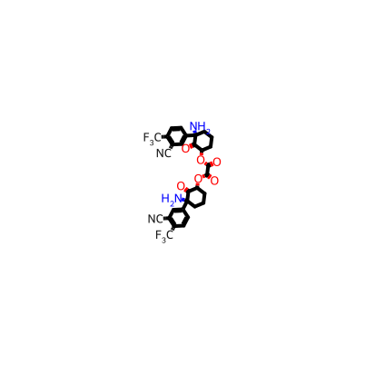 N#Cc1cc(C2(N)CCCC(OC(=O)C(=O)OC3CCCC(N)(c4ccc(C(F)(F)F)c(C#N)c4)C3=O)C2=O)ccc1C(F)(F)F